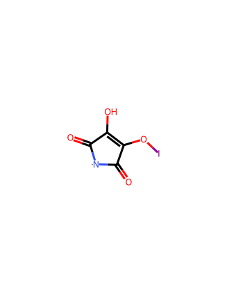 O=C1[N]C(=O)C(OI)=C1O